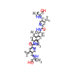 Cc1c(NC(=O)c2cc(C3CC3)c(CN[C@H](C)CO)cn2)cccc1-c1cccc(NC(=O)c2cc(C3CC3)c(CN[C@H](C)CO)cn2)c1C